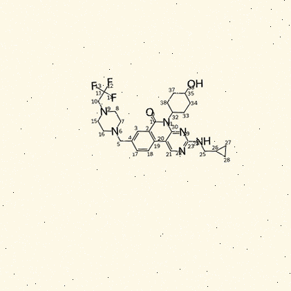 O=c1c2cc(CN3CCN(CC(F)(F)F)CC3)ccc2c2cnc(NCC3CC3)nc2n1C1CCC(O)CC1